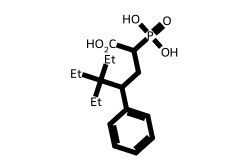 CCC(CC)(CC)C(CC(C(=O)O)P(=O)(O)O)c1ccccc1